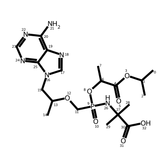 CC(C)OC(=O)C(C)OP(=O)(COC(C)Cn1cnc2c(N)ncnc21)NC(C)(C)C(=O)O